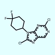 FC1(F)CCC(n2c(Cl)nc3cnc(Cl)nc32)CC1